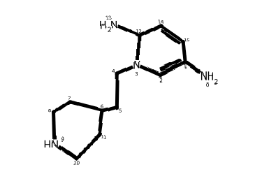 NC1=CN(CCC2CCNCC2)C(N)C=C1